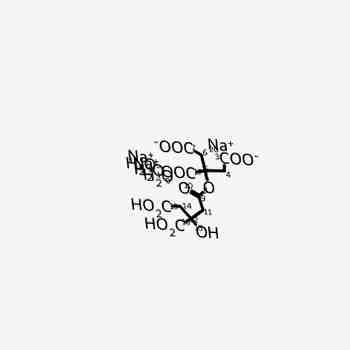 O.O.O.O=C([O-])CC(CC(=O)[O-])(OC(=O)CC(O)(CC(=O)O)C(=O)O)C(=O)[O-].[Na+].[Na+].[Na+]